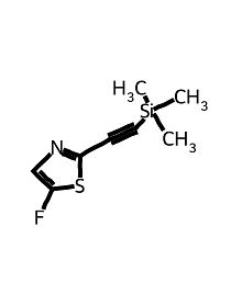 C[Si](C)(C)C#Cc1ncc(F)s1